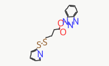 O=C(CCCSSc1ccccn1)On1nnc2ccccc21